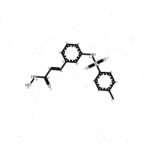 Cc1ccc(S(=O)(=O)Nc2cccc(C=CC(=O)NO)c2)cc1